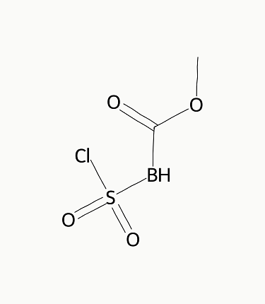 COC(=O)BS(=O)(=O)Cl